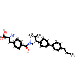 CCCc1ccc(-c2ccc([C@H](CNC(=O)c3ccc(C[C@H](N)C(=O)O)cc3)C(C)C)cc2)cc1